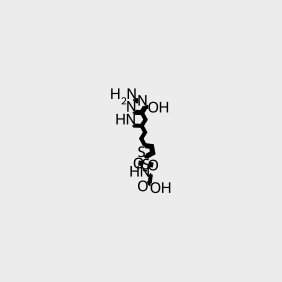 Nc1nc(O)c2c(n1)NCC(CCc1ccc(S(=O)(=O)NCC(=O)O)s1)C2